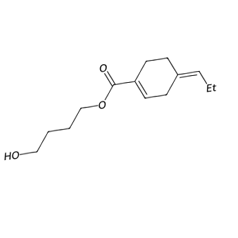 CCC=C1CC=C(C(=O)OCCCCO)CC1